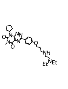 CCN(CC)CCNCCCOc1ccc(-c2nnc3c(n2)c(=O)n(C)c(=O)n3C2CCCC2)cc1